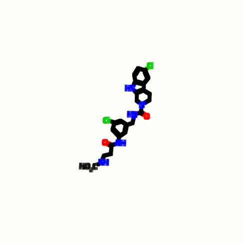 O=C(O)NCCC(=O)Nc1cc(Cl)cc(CNC(=O)N2CCc3c([nH]c4ccc(Cl)cc34)C2)c1